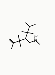 C=C(C)C(C)(C)C(CNC)C(C)(C)C(C)C